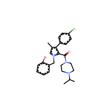 Cc1cn(Cc2ccccc2Br)c(C(=O)N2CCN(C(C)C)CC2)c1-c1ccc(Cl)cc1